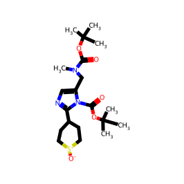 CN(Cc1cnc(C2CC[S+]([O-])CC2)n1C(=O)OC(C)(C)C)C(=O)OC(C)(C)C